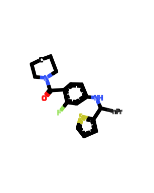 CCCC(Nc1ccc(C(=O)N2CCCCC2)c(F)c1)c1cccs1